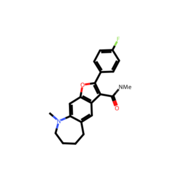 CNC(=O)c1c(-c2ccc(F)cc2)oc2cc3c(cc12)CCCCN3C